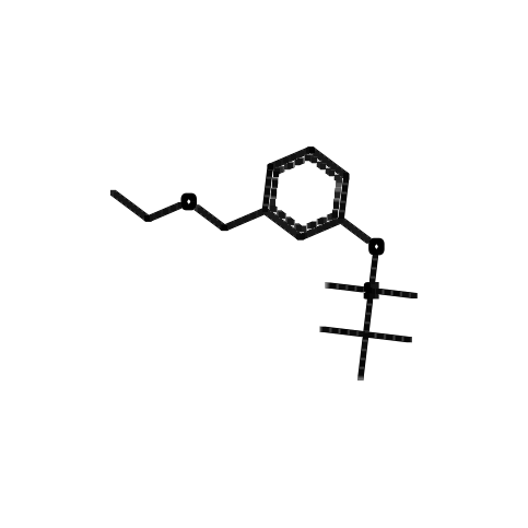 CCOCc1cccc(O[Si](C)(C)C(C)(C)C)c1